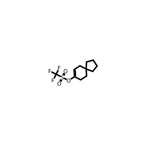 O=S(=O)(OC1=CCC2(CCCC2)CC1)C(F)(F)F